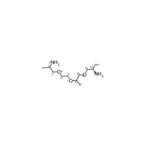 CC(N)COCCOC(C)COCC(C)N